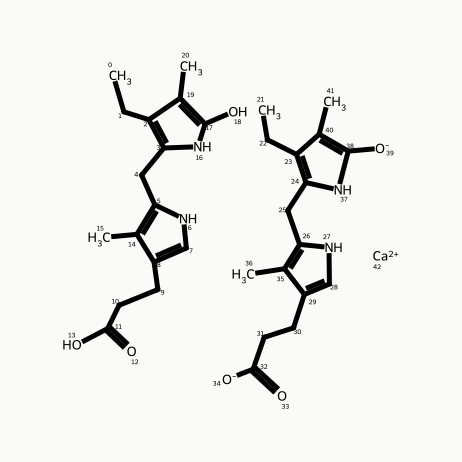 CCc1c(Cc2[nH]cc(CCC(=O)O)c2C)[nH]c(O)c1C.CCc1c(Cc2[nH]cc(CCC(=O)[O-])c2C)[nH]c([O-])c1C.[Ca+2]